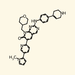 Cn1cccc1-c1ccc(-c2cc3cnc(Nc4ccc(C5=CCNCC5)cc4)nc3n(CC3CCOCC3)c2=O)nc1